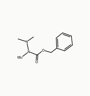 CN(C)N(C(=O)OCc1ccccc1)C(C)(C)C